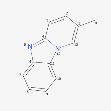 Cc1ccc2nc3ccccc3n2c1